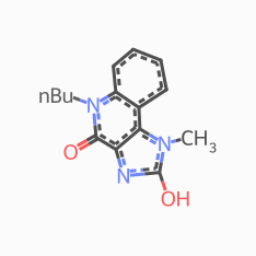 CCCCn1c(=O)c2nc(O)n(C)c2c2ccccc21